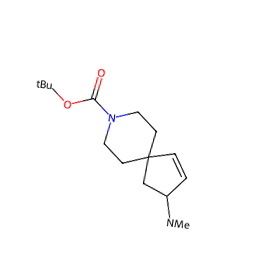 CNC1C=CC2(CCN(C(=O)OC(C)(C)C)CC2)C1